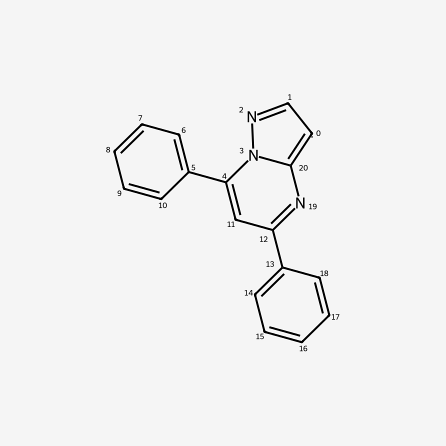 [c]1cnn2c(-c3ccccc3)cc(-c3ccccc3)nc12